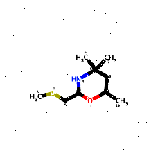 CSCC1NC(C)(C)CC(C)O1